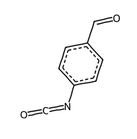 O=C=Nc1ccc(C=O)cc1